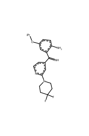 CC(C)Oc1ccc(N)c(C(=N)c2ccnc(N3CCC(F)(F)CC3)c2)c1